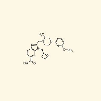 COc1cccc(N2CCN(Cc3nc4ccc(C(=O)O)cc4n3C[C@@H]3CCO3)[C@@H](C)C2)n1